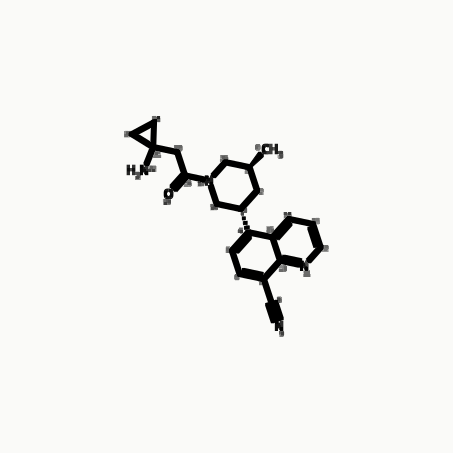 C[C@H]1C[C@H](c2ccc(C#N)c3ncccc23)CN(C(=O)CC2(N)CC2)C1